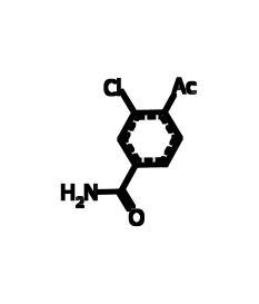 CC(=O)c1ccc(C(N)=O)cc1Cl